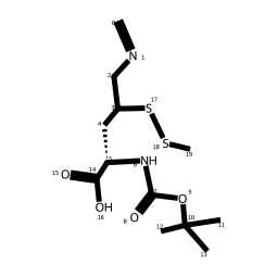 C=NCC(C[C@H](NC(=O)OC(C)(C)C)C(=O)O)SSC